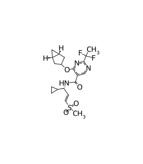 CC(F)(F)c1ncc(C(=O)N[C@H](/C=C/S(C)(=O)=O)C2CC2)c(OC2C[C@@H]3C[C@@H]3C2)n1